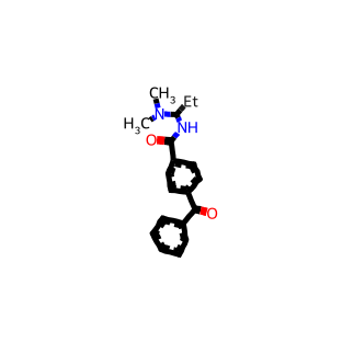 CCC(NC(=O)c1ccc(C(=O)c2ccccc2)cc1)N(C)C